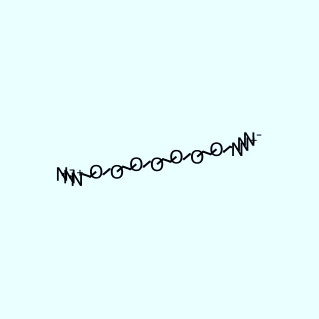 [N-]=[N+]=NCCOCCOCCOCCOCCOCCOCCOCCN=[N+]=[N-]